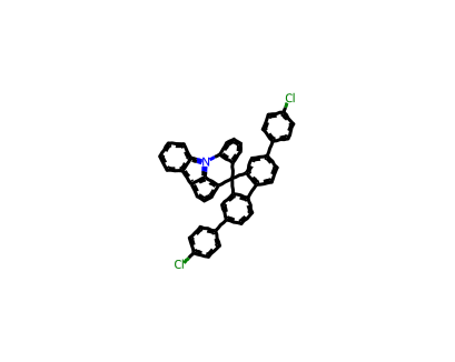 Clc1ccc(-c2ccc3c(c2)C2(c4cc(-c5ccc(Cl)cc5)ccc4-3)c3ccccc3-n3c4ccccc4c4cccc2c43)cc1